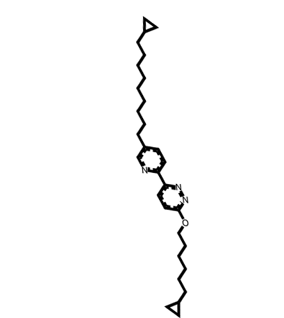 c1cc(-c2ccc(OCCCCCCC3CC3)nn2)ncc1CCCCCCCCCC1CC1